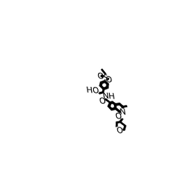 CCS(=O)(=O)c1ccc(C(CO)NC(=O)c2ccc3c(OCC4CCOCC4)nc(C)cc3c2)cc1